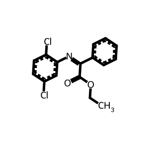 CCOC(=O)C(=Nc1cc(Cl)ccc1Cl)c1ccccc1